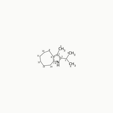 Cc1c(C(C)C)[nH]c2c1CCCCCC2